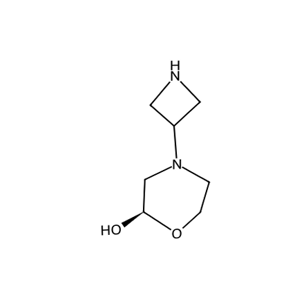 O[C@H]1CN(C2CNC2)CCO1